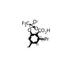 Cc1cc(OS(=O)(=O)C(F)(F)F)c(C(=O)O)c(C(C)C)c1